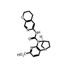 O=C(O)c1ccc2c(n1)N(C(=O)Nc1cc3c(cn1)OCCC3)[C@H]1CCN2C1